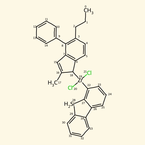 CCCc1ccc2c(c1-c1ccccc1)C=C(C)[CH]2[Zr]([Cl])([Cl])[c]1cccc2c1[SiH2]c1ccccc1-2